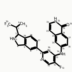 CC(C1NCc2cc(-c3ncc(F)c(Nc4ccc5c(=O)[nH]ccc5c4)n3)ccc21)C(F)(F)F